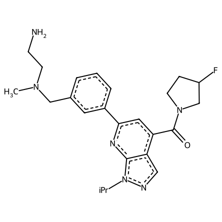 CC(C)n1ncc2c(C(=O)N3CCC(F)C3)cc(-c3cccc(CN(C)CCN)c3)nc21